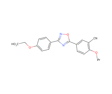 CC(C)Oc1ccc(-c2nc(-c3ccc(OCC(=O)O)cc3)no2)cc1C#N